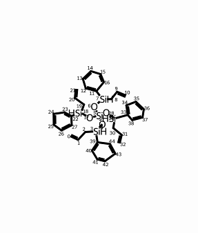 C=CC[SiH](O[Si](O[SiH](CC=C)c1ccccc1)(O[SiH](CC=C)c1ccccc1)O[SiH](CC=C)c1ccccc1)c1ccccc1